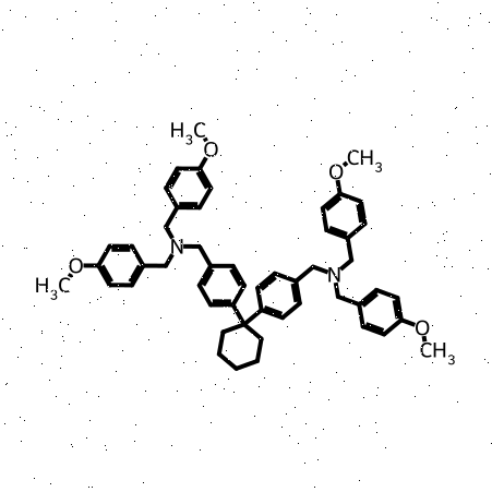 COc1ccc(CN(Cc2ccc(OC)cc2)Cc2ccc(C3(c4ccc(CN(Cc5ccc(OC)cc5)Cc5ccc(OC)cc5)cc4)CCCCC3)cc2)cc1